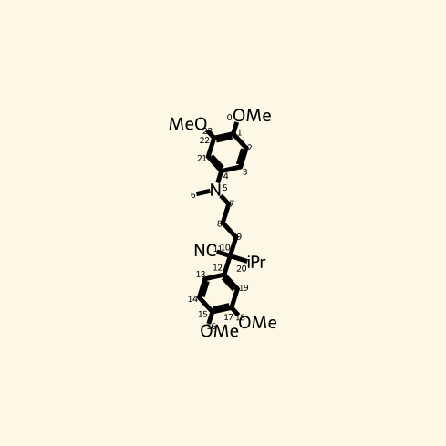 COc1ccc(N(C)CCCC(C#N)(c2ccc(OC)c(OC)c2)C(C)C)cc1OC